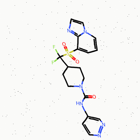 O=C(Nc1ccnnc1)N1CCC(C(F)(F)S(=O)(=O)c2cccn3ccnc23)CC1